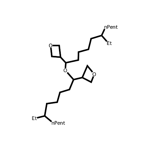 CCCCCC(CC)CCCCC(OC(CCCCC(CC)CCCCC)C1COC1)C1COC1